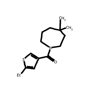 CCc1cc(C(=O)N2CCCC(C)(C)CC2)cs1